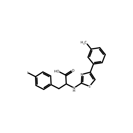 Cc1cccc(-c2csc(NC(Cc3ccc(I)cc3)C(=O)O)n2)c1